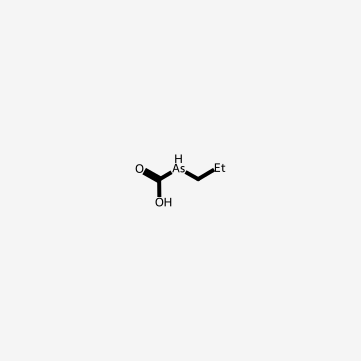 [CH2]CC[AsH]C(=O)O